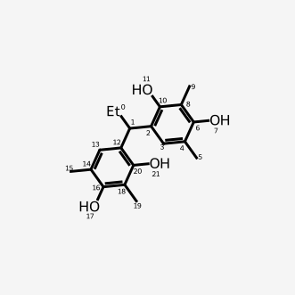 CCC(c1cc(C)c(O)c(C)c1O)c1cc(C)c(O)c(C)c1O